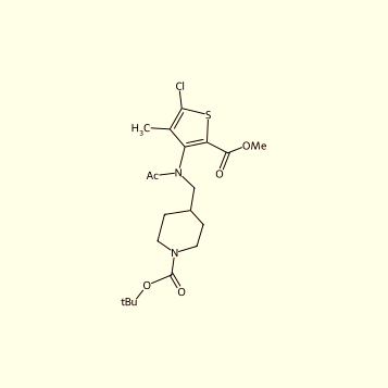 COC(=O)c1sc(Cl)c(C)c1N(CC1CCN(C(=O)OC(C)(C)C)CC1)C(C)=O